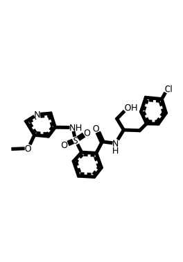 COc1cncc(NS(=O)(=O)c2ccccc2C(=O)NC(CO)Cc2ccc(Cl)cc2)c1